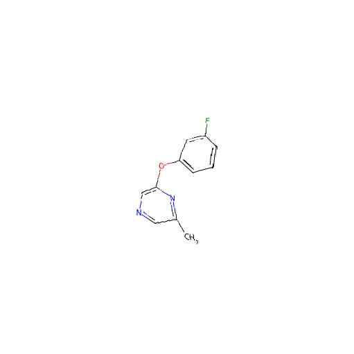 Cc1cncc(Oc2cccc(F)c2)n1